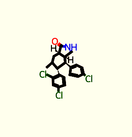 CC1C[C@H]2C(=O)NC[C@H]2[C@@H](c2ccc(Cl)cc2)[C@@H]1c1ccc(Cl)cc1Cl